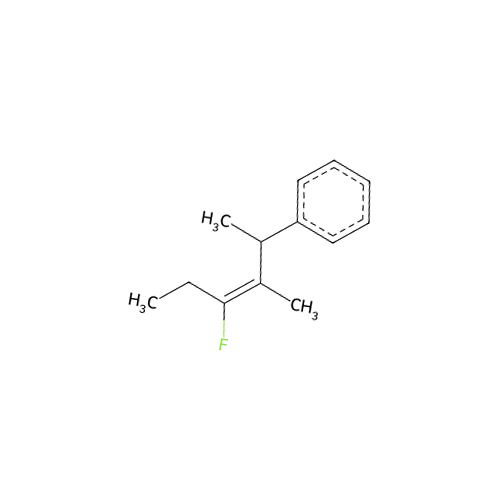 CC/C(F)=C(/C)C(C)c1ccccc1